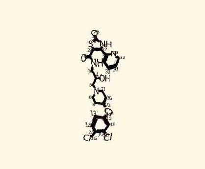 O=C(NC[C@@H](O)CN1CCC(Oc2ccc(Cl)c(Cl)c2)CC1)c1sc(=O)[nH]c1-c1ccccn1